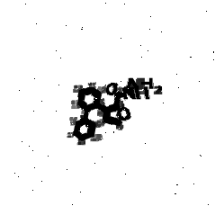 NNC(=O)c1occc1-c1ccccc1-c1ccccc1